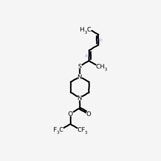 C/C=C\C=C(/C)SN1CCN(C(=O)OC(C(F)(F)F)C(F)(F)F)CC1